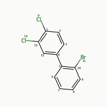 Clc1ccc(-c2[c]cccc2Br)cc1Cl